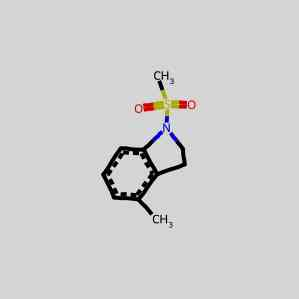 Cc1cccc2c1CCN2S(C)(=O)=O